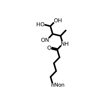 CCCCCCCCCCCCCC(=O)NC(C)C(N=O)C(O)O